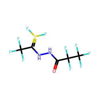 O=C(NNC(=S(F)F)C(F)(F)F)C(F)(F)C(F)(F)F